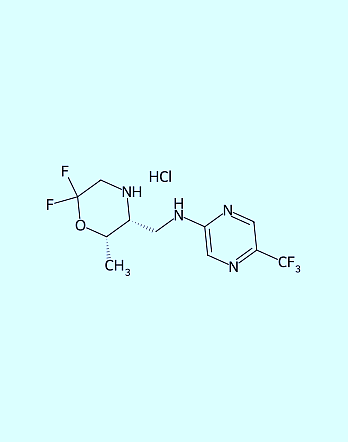 C[C@@H]1OC(F)(F)CN[C@@H]1CNc1cnc(C(F)(F)F)cn1.Cl